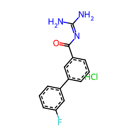 Cl.NC(N)=NC(=O)c1cccc(-c2cccc(F)c2)c1